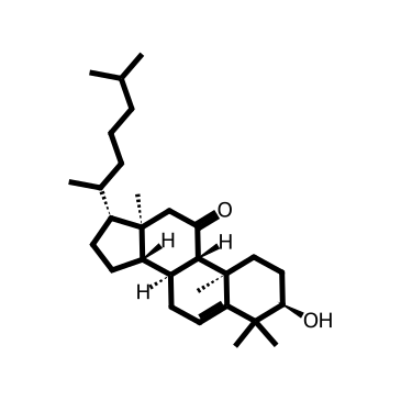 CC(C)CCCC(C)[C@H]1CC[C@H]2[C@@H]3CC=C4C(C)(C)[C@H](O)CC[C@]4(C)[C@H]3C(=O)C[C@]12C